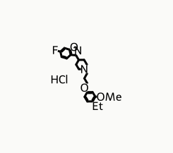 CCc1ccc(OCCCN2CCC(c3noc4cc(F)ccc34)CC2)cc1OC.Cl